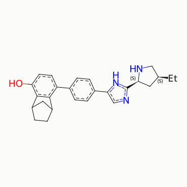 CC[C@@H]1CN[C@H](c2ncc(-c3ccc(-c4ccc(O)c5c4C4CCC5C4)cc3)[nH]2)C1